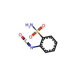 NS(=O)(=O)c1ccccc1N=C=O